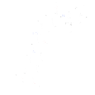 COC1C=C2CCN(CC(=O)Nc3ccc(C(=O)N4CC5(C)CC4CC(C)(C)C5)cc3)C=C2CC1OC